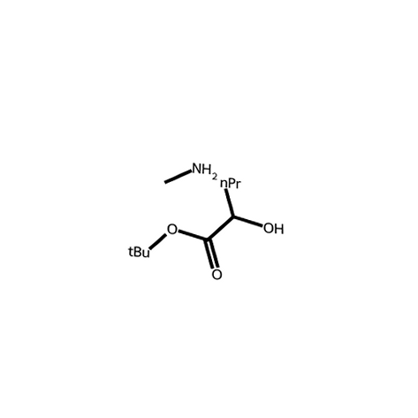 CCCC(O)C(=O)OC(C)(C)C.CN